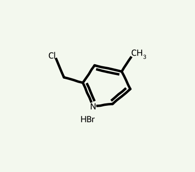 Br.Cc1ccnc(CCl)c1